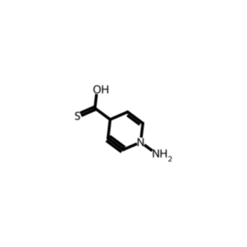 NN1C#CC(C(O)=S)C=C1